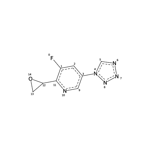 Fc1cc(-n2cnnn2)cnc1C1CO1